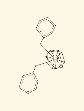 c1ccc(C[C]23[CH]4[CH]5[CH]6[C]2(Cc2ccccc2)[Hf]54632789[CH]3[CH]2[CH]7[CH]8[CH]39)cc1